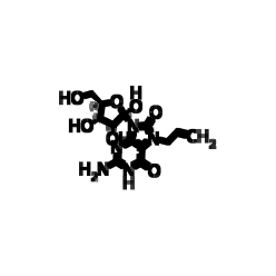 C=CCn1c(=O)n([C@]2(O)O[C@H](CO)[C@@H](O)[C@H]2O)c2nc(N)[nH]c(=O)c21